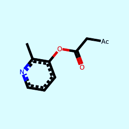 CC(=O)CC(=O)Oc1cccnc1C